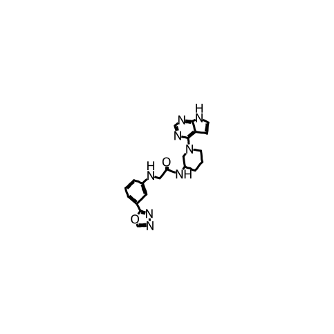 O=C(CNc1cccc(-c2nnco2)c1)NC1CCCN(c2ncnc3[nH]ccc23)C1